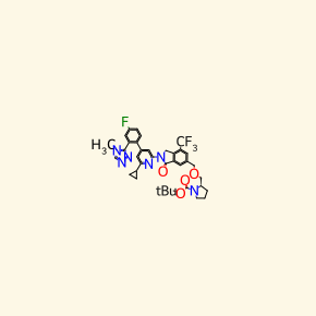 Cn1cnnc1-c1cc(F)ccc1-c1cc(C2CC2)nc(N2Cc3c(cc(COC[C@H]4CCCN4C(=O)OC(C)(C)C)cc3C(F)(F)F)C2=O)c1